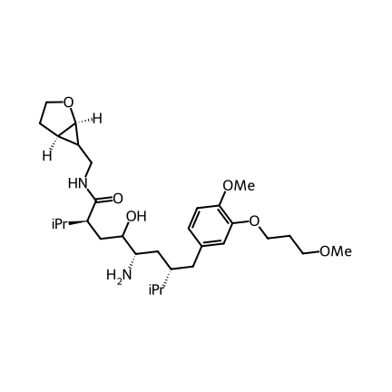 COCCCOc1cc(C[C@@H](C[C@H](N)C(O)C[C@H](C(=O)NCC2[C@H]3CCO[C@@H]23)C(C)C)C(C)C)ccc1OC